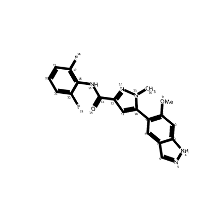 COc1cc2[nH]ncc2cc1-c1cc(C(=O)Nc2c(F)cccc2F)nn1C